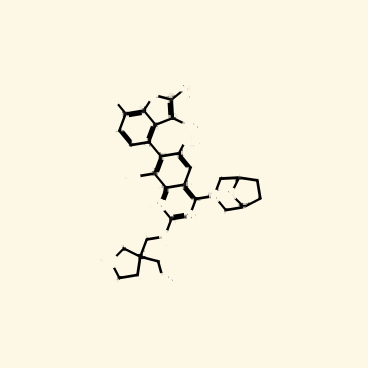 N#CCC1(COc2nc(N3CC4CCC(C3)N4)c3cc(C(F)(F)F)c(-c4ccc(F)c5sc(N)c(C#N)c45)c(F)c3n2)CCOC1